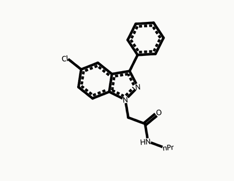 CCCNC(=O)Cn1nc(-c2ccccc2)c2cc(Cl)ccc21